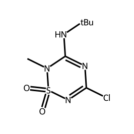 CN1C(NC(C)(C)C)=NC(Cl)=NS1(=O)=O